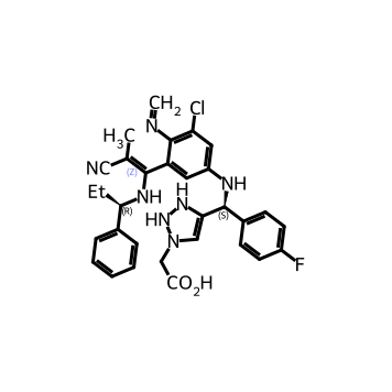 C=Nc1c(Cl)cc(N[C@H](C2=CN(CC(=O)O)NN2)c2ccc(F)cc2)cc1/C(N[C@H](CC)c1ccccc1)=C(\C)C#N